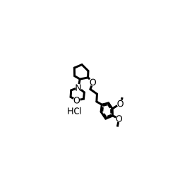 COc1ccc(CCCOC2CCCCC2N2CCOCC2)cc1OC.Cl